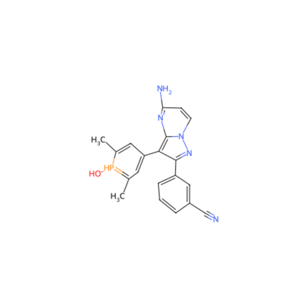 CC1=CC(c2c(-c3cccc(C#N)c3)nn3ccc(N)nc23)=CC(C)=[PH]1O